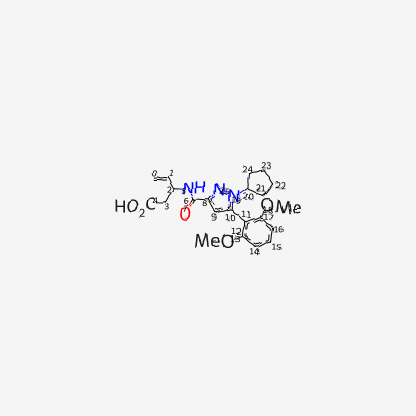 C=CC(CC(=O)O)NC(=O)c1cc(-c2c(OC)cccc2OC)n(C2CCCC2)n1